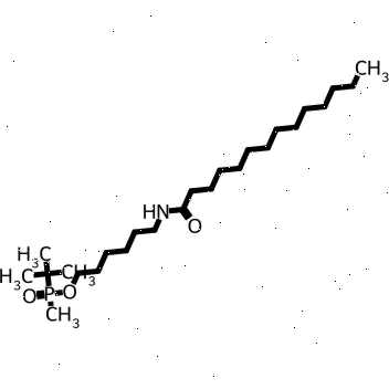 CCCCCCCCCCCCCC(=O)NCCCCCCOP(C)(=O)C(C)(C)C